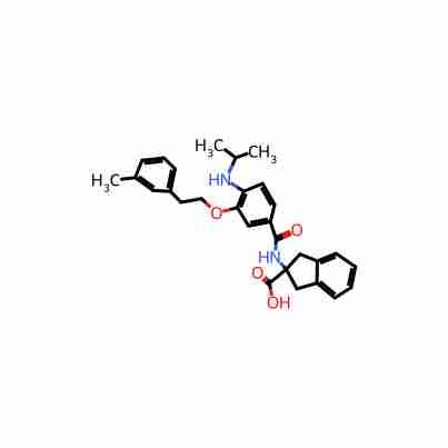 Cc1cccc(CCOc2cc(C(=O)NC3(C(=O)O)Cc4ccccc4C3)ccc2NC(C)C)c1